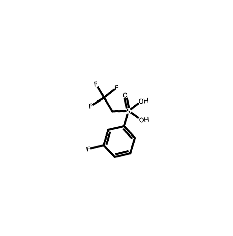 O=S(O)(O)(CC(F)(F)F)c1cccc(F)c1